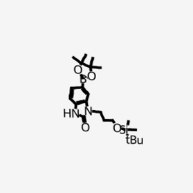 CC1(C)OB(c2ccc3[nH]c(=O)n(CCCO[Si](C)(C)C(C)(C)C)c3c2)OC1(C)C